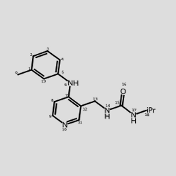 Cc1cccc(Nc2ccncc2CNC(=O)NC(C)C)c1